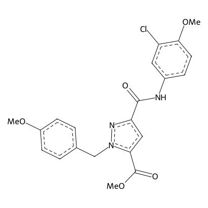 COC(=O)c1cc(C(=O)Nc2ccc(OC)c(Cl)c2)nn1Cc1ccc(OC)cc1